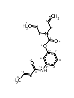 C=CCN(CC=C)C(=O)Oc1cccc(NC(=O)C=CC)c1